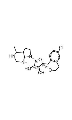 CC1NCNC2C1CCN2[C@@H]1O[C@H]([C@H]2OCCc3cc(Cl)ccc32)[C@@H](O)[C@H]1O